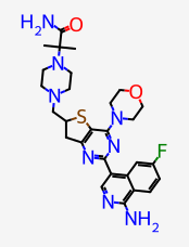 CC(C)(C(N)=O)N1CCN(CC2Cc3nc(-c4cnc(N)c5ccc(F)cc45)nc(N4CCOCC4)c3S2)CC1